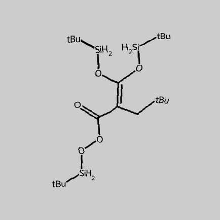 CC(C)(C)CC(C(=O)OO[SiH2]C(C)(C)C)=C(O[SiH2]C(C)(C)C)O[SiH2]C(C)(C)C